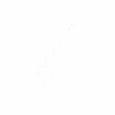 COCCCCCCN1CCN(C)CC1